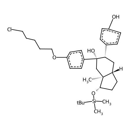 CC(C)(C)[Si](C)(C)O[C@H]1CC[C@H]2C[C@@H](c3ccc(O)cc3)[C@](O)(c3ccc(OCCCCCCl)cc3)C[C@@]21C